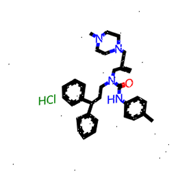 C=C(CN1CCN(C)CC1)CN(CCC(c1ccccc1)c1ccccc1)C(=O)Nc1ccc(C)cc1.Cl